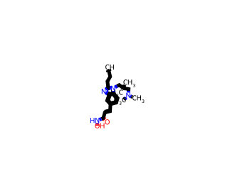 C#CCCc1nc2cc(C=CC(=O)NO)ccc2n1CC(C)(C)CN(C)C